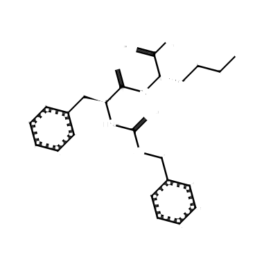 CCCC[C@H](NC(=O)[C@H](Cc1ccccc1)NC(=O)OCc1ccccc1)C(=O)O